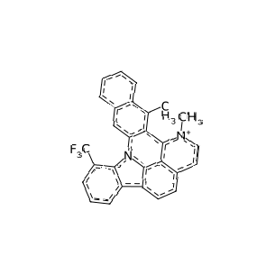 Cc1c2ccccc2cc2c1c1c3c(ccc4c5cccc(C(F)(F)F)c5n2c43)cc[n+]1C